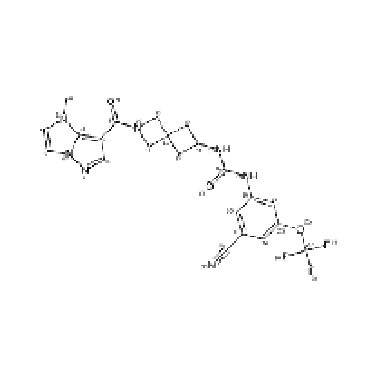 Cn1ccn2ncc(C(=O)N3CC4(CC(NC(=O)Nc5cc(C#N)cc(OC(F)(F)F)c5)C4)C3)c12